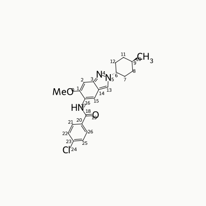 COc1cc2nn([C@H]3CC[C@H](C)CC3)cc2cc1NC(=O)c1ccc(Cl)cc1